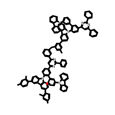 Cc1cc(Cc2cccc(-c3cc(-c4ccc(-n5c6ccc(-c7ccc(C)cc7C)cc6c6cc(-c7ccc(C)cc7C)ccc65)c(-c5cccc(-n6c7ccccc7c7ccccc76)c5)c4)nc(-c4ccccc4)n3)c2)cc(-c2ccc3c(c2)c2ccccc2n3-c2ccc(-c3cc(-c4ccccc4)nc(-c4ccccc4)n3)cc2-c2cccc(-n3c4ccccc4c4ccccc43)c2)c1